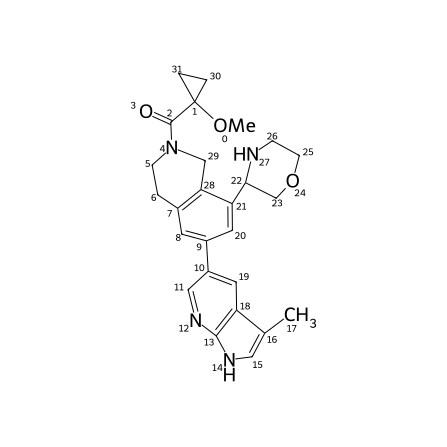 COC1(C(=O)N2CCc3cc(-c4cnc5[nH]cc(C)c5c4)cc(C4COCCN4)c3C2)CC1